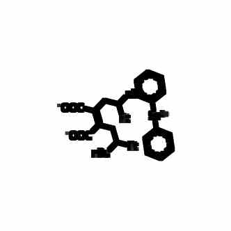 CCCCC(CC)C/C(C(=O)[O-])=C(\CC(CC)CCCC)C(=O)[O-].c1cc[c]([Sn+2][c]2ccccc2)cc1